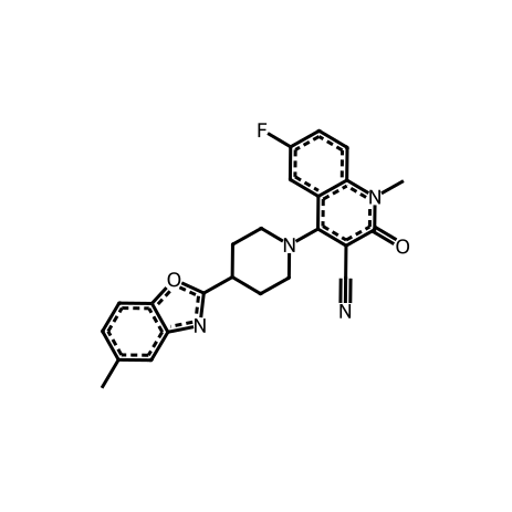 Cc1ccc2oc(C3CCN(c4c(C#N)c(=O)n(C)c5ccc(F)cc45)CC3)nc2c1